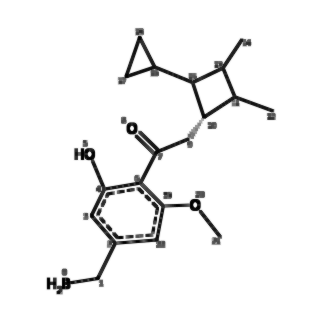 BCc1cc(O)c(C(=O)C[C@H]2C(C)C(C)C2C2CC2)c(OC)c1